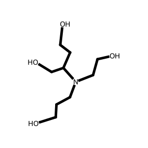 OCCCN(CCO)C(CO)CCO